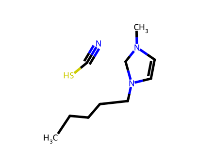 CCCCCN1C=CN(C)C1.N#CS